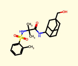 Cc1ccccc1S(=O)(=O)NC(C)(C)C(=O)NC1C2CC3CC1CC(CO)(C3)C2